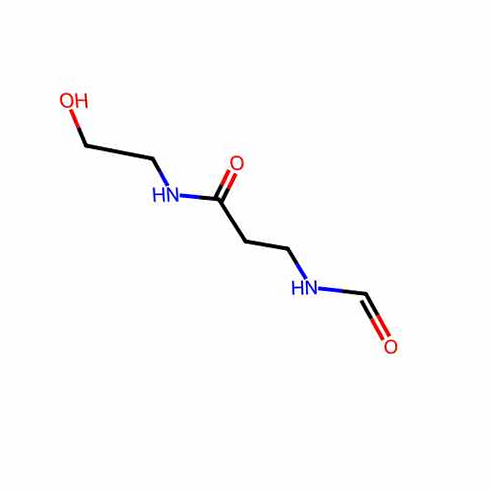 O=CNCCC(=O)NCCO